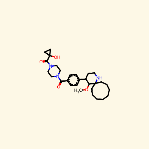 COC1C(c2ccc(C(=O)N3CCN(C(=O)C4(O)CC4)CC3)cc2)CCNC12CCCCCCCC2